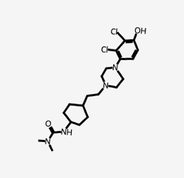 CN(C)C(=O)NC1CCC(CCN2CCN(c3ccc(O)c(Cl)c3Cl)CC2)CC1